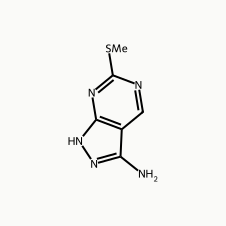 CSc1ncc2c(N)n[nH]c2n1